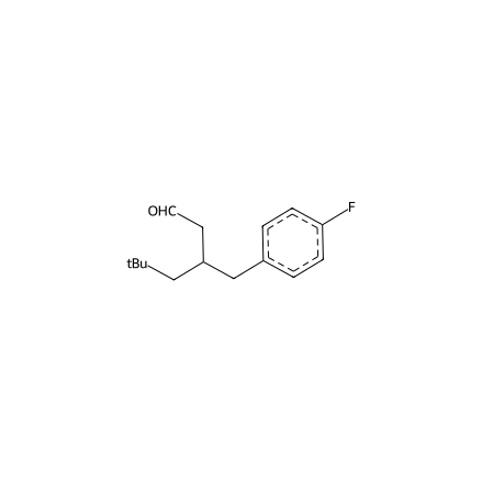 CC(C)(C)CC(CC=O)Cc1ccc(F)cc1